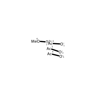 CC(=O)[O-].CC(=O)[O-].CC(=O)[O-].C[O][Ti+3]